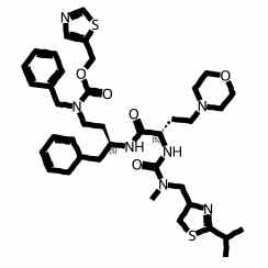 CC(C)C1=NC(CN(C)C(=O)N[C@@H](CCN2CCOCC2)C(=O)N[C@H](CCN(Cc2ccccc2)C(=O)OCc2cncs2)CC2C=CC=CC2)CS1